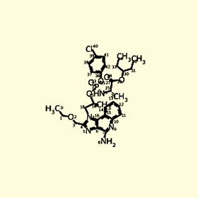 CCOCc1nc2c(N)nc3ccccc3c2n1C[C@@H](C)OP(=O)(N[C@@H](C)C(=O)OC(CC)CC)Oc1ccc(Cl)cc1